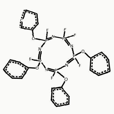 FP1(F)=NP(F)(Oc2ccccc2)=NP(F)(Oc2ccccc2)=NP(F)(Oc2ccccc2)=NP(F)(Oc2ccccc2)=N1